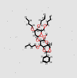 CCCCOCC1O[C@@H](OC2C(OCCCC)C3O[C@H](c4ccccc4)OC[C@H]3O[C@@H]2OC)CC(OCCCC)[C@@H]1OCCCC